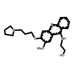 COc1cc2c(NCCO)c3ccccc3nc2cc1OCCCN1CCCC1